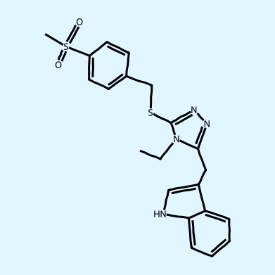 CCn1c(Cc2c[nH]c3ccccc23)nnc1SCc1ccc(S(C)(=O)=O)cc1